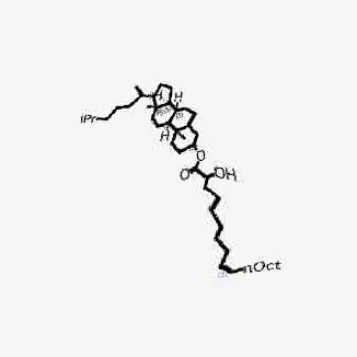 CCCCCCCC/C=C\CCCCCCC(O)C(=O)O[C@H]1CC[C@@]2(C)C(=CC[C@H]3[C@@H]4CC[C@H](C(C)CCCC(C)C)[C@@]4(C)CC[C@@H]32)C1